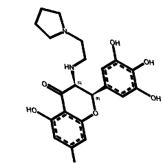 O=C1c2c(O)cc(O)cc2O[C@H](c2cc(O)c(O)c(O)c2)[C@@H]1NCCN1CCCC1